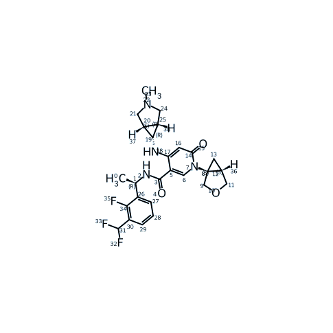 C[C@@H](NC(=O)c1cn([C@]23COC[C@H]2C3)c(=O)cc1N[C@@H]1[C@@H]2CN(C)C[C@@H]21)c1cccc(C(F)F)c1F